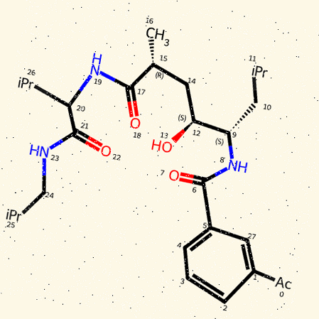 CC(=O)c1cccc(C(=O)N[C@@H](CC(C)C)[C@@H](O)C[C@@H](C)C(=O)NC(C(=O)NCC(C)C)C(C)C)c1